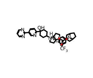 O=C(C1CC2CCC(C1)N2c1cccc(C(F)(F)F)c1)N1CC[C@@H]2[C@H]1CCN2C1CCC(O)(c2ccc(-c3ncccn3)cn2)CC1